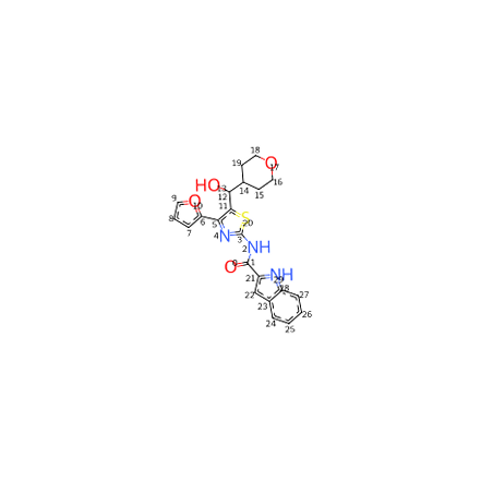 O=C(Nc1nc(-c2ccco2)c(C(O)C2CCOCC2)s1)c1cc2ccccc2[nH]1